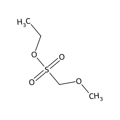 CCOS(=O)(=O)COC